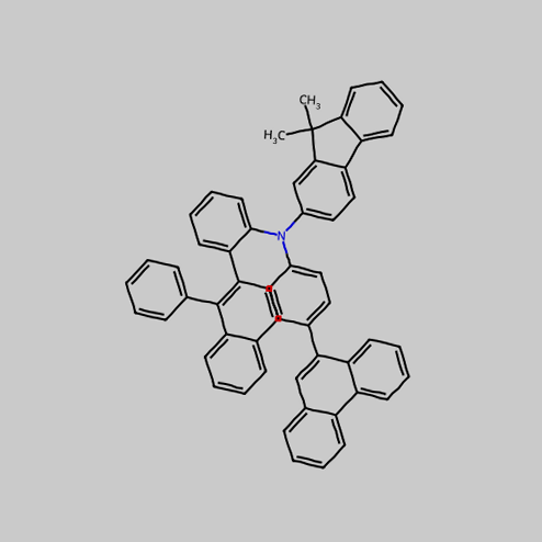 CC1(C)c2ccccc2-c2ccc(N(c3ccc(-c4cc5ccccc5c5ccccc45)cc3)c3ccccc3-c3ccc4ccccc4c3-c3ccccc3)cc21